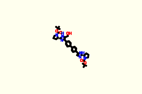 CC(C)(C)OC(=O)N1CCC[C@H]1c1ncc(-c2ccc(-c3ccc(-c4nc([C@@H]5CCCN5C(=O)OC(C)(C)C)[nH]c4CO)cc3)cc2)[nH]1